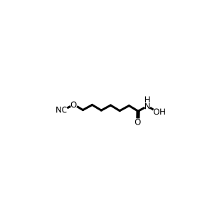 N#COCCCCCCC(=O)NO